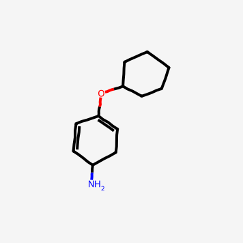 NC1C=CC(OC2CCCCC2)=CC1